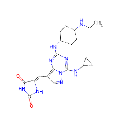 CCNC1CCC(Nc2nc(NC3CC3)n3ncc(/C=C4\NC(=O)NC4=O)c3n2)CC1